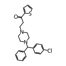 O=C(CCN1CCN(C(c2ccccc2)c2ccc(Cl)cc2)CC1)c1cccs1